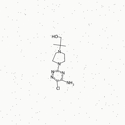 CC(C)(CO)N1CCN(c2nnc(Cl)c(N)n2)CC1